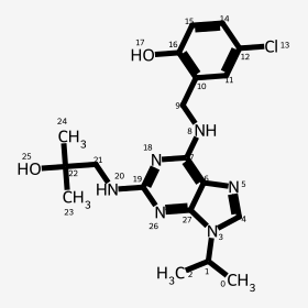 CC(C)n1cnc2c(NCc3cc(Cl)ccc3O)nc(NCC(C)(C)O)nc21